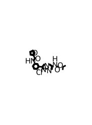 CC(C)OC(=O)Nc1cnc2nc(-c3cc(NC(=O)c4ccco4)ccc3Cl)cn2c1